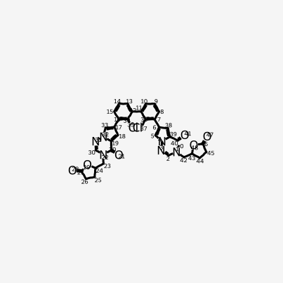 CN(/C=N\n1cc(-c2cccc(-c3cccc(-c4cc5c(=O)n(CC6CCC(=O)O6)cnn5c4)c3Cl)c2Cl)cc1C=O)CC1CCC(=O)O1